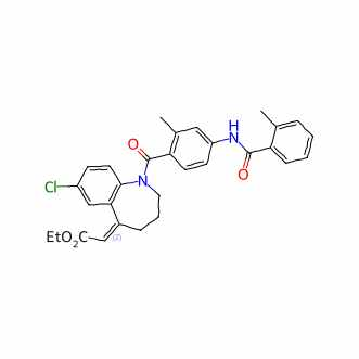 CCOC(=O)/C=C1/CCCN(C(=O)c2ccc(NC(=O)c3ccccc3C)cc2C)c2ccc(Cl)cc21